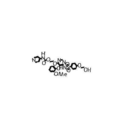 COc1ccccc1Oc1c(NS(=O)(=O)c2ccc(OCCO)cc2)ncnc1OCCOC(=O)Nc1ccncc1